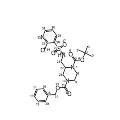 CC(C)(C)OC(=O)N1CCN(C(=O)OCc2ccccc2)CC1CNS(=O)(=O)c1cccnc1Cl